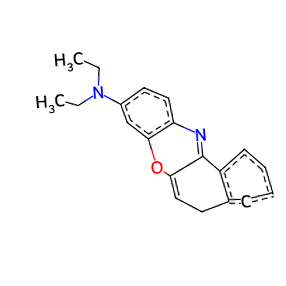 CCN(CC)c1ccc2c(c1)OC1=CCc3ccccc3C1=N2